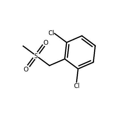 CS(=O)(=O)Cc1c(Cl)cccc1Cl